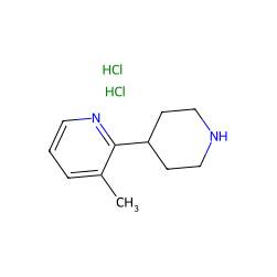 Cc1cccnc1C1CCNCC1.Cl.Cl